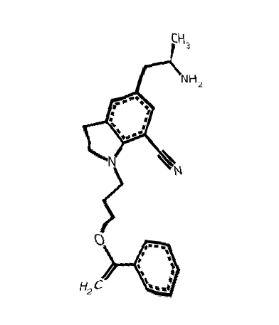 C=C(OCCCN1CCc2cc(C[C@@H](C)N)cc(C#N)c21)c1ccccc1